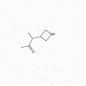 CC(=O)C(C)C1CNC1